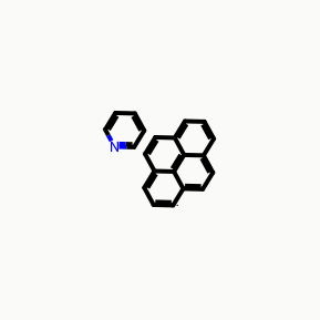 [c]1ccc2ccc3cccc4ccc1c2c43.c1ccncc1